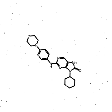 O=c1[nH]c2cnc(Nc3ccc(N4CCOCC4)nc3)nc2n1C1CCCCC1